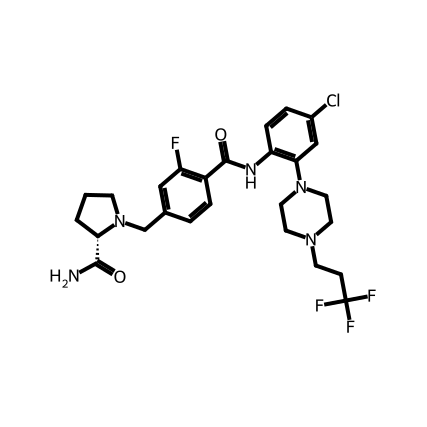 NC(=O)[C@@H]1CCCN1Cc1ccc(C(=O)Nc2ccc(Cl)cc2N2CCN(CCC(F)(F)F)CC2)c(F)c1